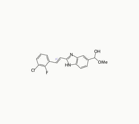 COC(O)c1ccc2[nH]c(/C=C/c3cccc(Cl)c3F)nc2c1